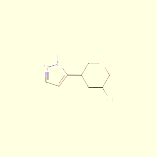 ClC1[CH]C(c2ccn[nH]2)COC1